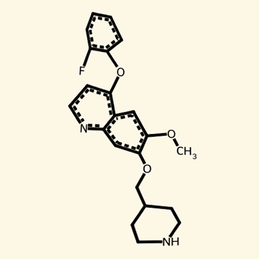 COc1cc2c(Oc3ccccc3F)ccnc2cc1OCC1CCNCC1